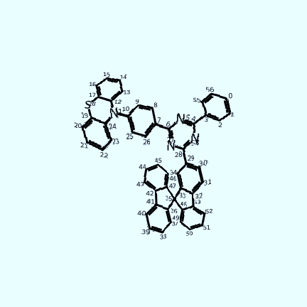 c1ccc(-c2nc(-c3ccc(N4c5ccccc5Sc5ccccc54)cc3)nc(-c3ccc4c(c3)C3(c5ccccc5-c5ccccc53)c3ccccc3-4)n2)cc1